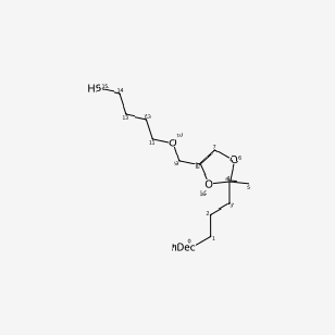 CCCCCCCCCCCCCC1(C)OCC(COCCCCS)O1